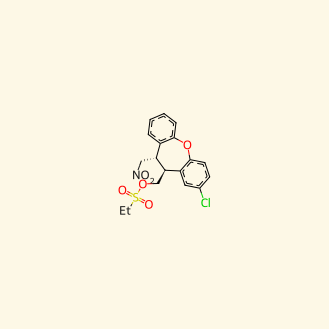 CCS(=O)(=O)OC[C@@H]1c2cc(Cl)ccc2Oc2ccccc2[C@H]1C[N+](=O)[O-]